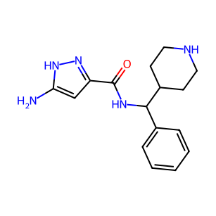 Nc1cc(C(=O)NC(c2ccccc2)C2CCNCC2)n[nH]1